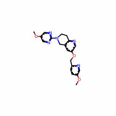 COc1ccc(COc2cnc3c(c2)CN(c2ncc(OC)cn2)CC3)nc1